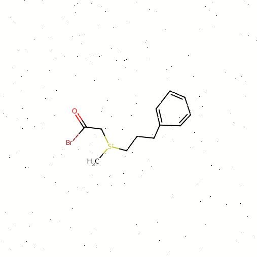 C[S+](CCCc1ccccc1)CC(=O)Br